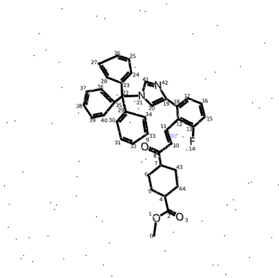 COC(=O)C1CCC(C(=O)/C=C/c2c(F)cccc2-c2cn(C(c3ccccc3)(c3ccccc3)c3ccccc3)cn2)CC1